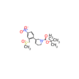 C[S+]([O-])Cc1cc([N+](=O)[O-])ccc1C1=CCCN(C(=O)OC(C)(C)C)C1